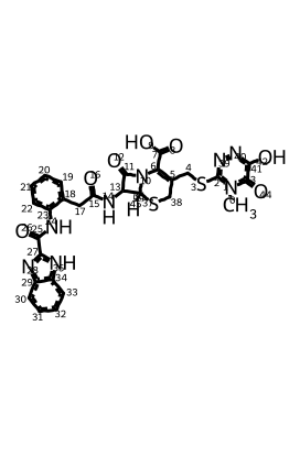 Cn1c(SCC2=C(C(=O)O)N3C(=O)C(NC(=O)Cc4ccccc4NC(=O)c4nc5ccccc5[nH]4)[C@H]3SC2)nnc(O)c1=O